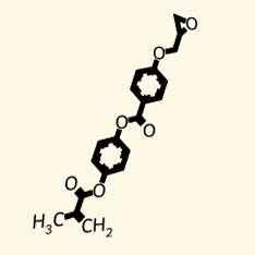 C=C(C)C(=O)Oc1ccc(OC(=O)c2ccc(OCC3CO3)cc2)cc1